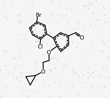 O=Cc1ccc(OCCOC2CC2)c(-c2cc(Br)ccc2Cl)c1